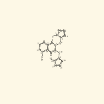 Cn1nnnc1Sc1nc2cccc(F)c2nc1Sc1nnnn1C